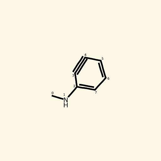 CNc1c#cccc1